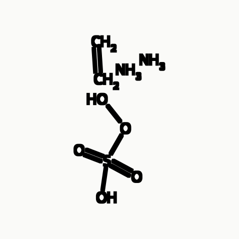 C=C.N.N.O=S(=O)(O)OO